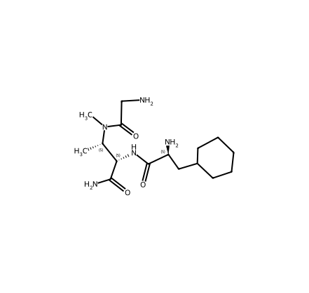 C[C@@H]([C@H](NC(=O)[C@@H](N)CC1CCCCC1)C(N)=O)N(C)C(=O)CN